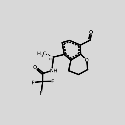 C[C@@H](NC(=O)C(F)(F)F)c1ccc(C=O)c2c1CCCO2